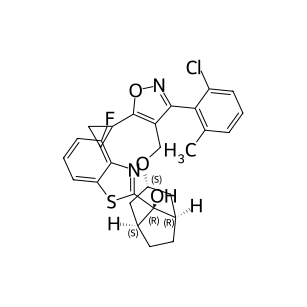 Cc1cccc(Cl)c1-c1noc(C2CC2)c1CO[C@@H]1C[C@H]2CC[C@@H](C1)[C@]2(O)c1nc2c(F)cccc2s1